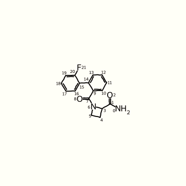 NC(=O)C1CCN1C(=O)c1ccccc1-c1ccccc1F